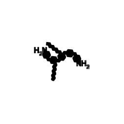 CCCCCCCCc1cc(Cc2ccc(N)cc2)ccc1Cc1ccc(Cc2ccc(Cc3ccc(N)cc3)cc2)c(CCCCCCCC)c1